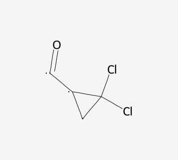 O=[C][C]1CC1(Cl)Cl